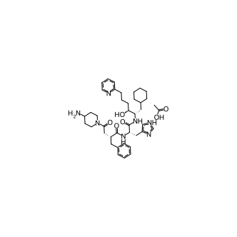 CC(=O)O.NC1CCN(C(=O)C[C@@H](Cc2ccccc2)C(=O)N[C@@H](Cc2c[nH]cn2)C(=O)N[C@@H](CC2CCCCC2)[C@@H](O)CCCc2ccccn2)CC1